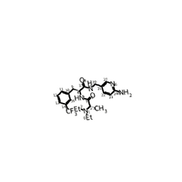 CCN(CC)[C@@H](C)C(=O)N[C@@H](Cc1cccc(C(F)(F)F)c1)C(=O)NCc1ccc(N)nc1